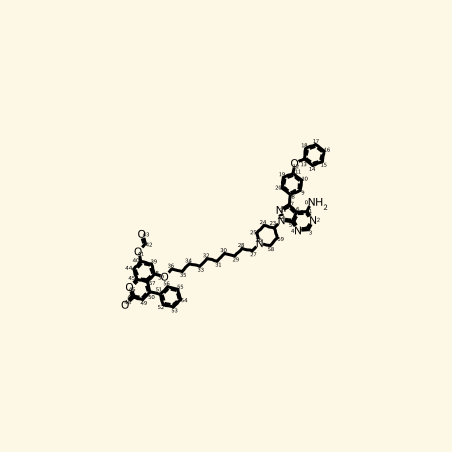 Nc1ncnc2c1c(-c1ccc(Oc3ccccc3)cc1)nn2C1CCN(CCCCCCCCCCOc2cc(OC=O)cc3oc(=O)cc(-c4ccccc4)c23)CC1